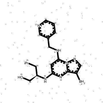 Bc1cnn2c(NCc3cccnc3)cc(N[C@@H](CO)CC(C)C)nc12